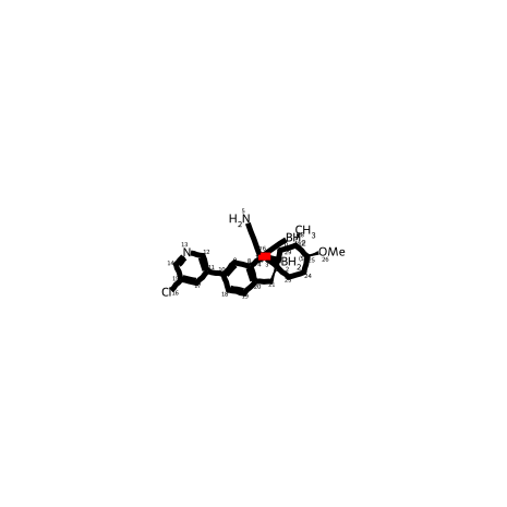 BC1(B)OC(N)=N[C@]12c1cc(-c3cncc(Cl)c3)ccc1C[C@@]21CC[C@H](OC)[C@@H](C)C1